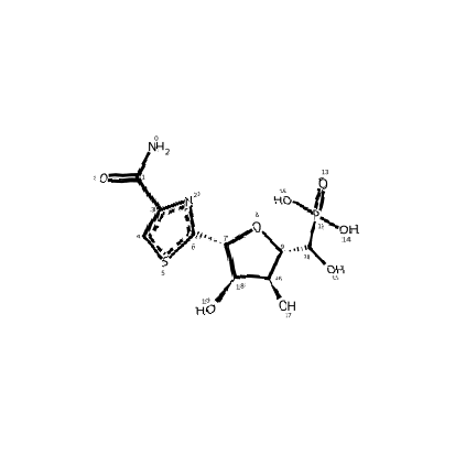 NC(=O)c1csc([C@@H]2O[C@H](C(O)P(=O)(O)O)[C@@H](O)[C@H]2O)n1